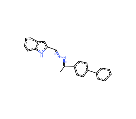 C/C(=N\N=C\c1cc2ccccc2[nH]1)c1ccc(-c2ccccc2)cc1